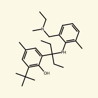 CCN(C)Cc1cccc(C)c1PC(CC)(CC)c1cc(C)cc(C(C)(C)C)c1O